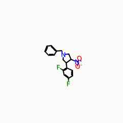 O=[N+]([O-])C1CN(Cc2ccccc2)CC1c1ccc(F)cc1F